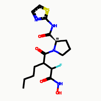 CCCCC(C(=O)N1CCC[C@H]1C(=O)Nc1nccs1)C(F)C(=O)NO